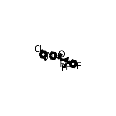 Cc1ccc(Cl)cc1N1CCN(C(=O)CC2C[C@]2(c2ccc(F)cc2)C(F)(F)F)CC1